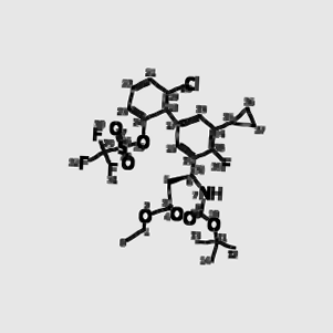 CCOC(=O)C[C@H](NC(=O)OC(C)(C)C)c1cc(-c2c(Cl)cccc2OS(=O)(=O)C(F)(F)F)cc(C2CC2)c1F